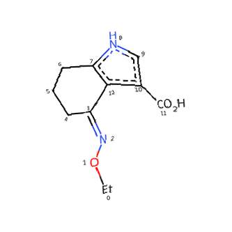 CCO/N=C1\CCCc2[nH]cc(C(=O)O)c21